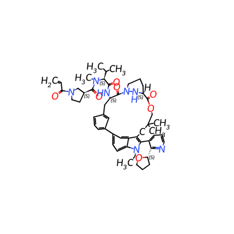 C=CC(=O)N1CC[C@H](C(=O)N(C)[C@H](C(=O)N[C@H]2Cc3cccc(c3)-c3ccc4c(c3)c(c(-c3cccnc3[C@@H]3CCCO3)n4CC)CC(C)(C)COC(=O)[C@@H]3CCCN(N3)C2=O)C(C)C)C1